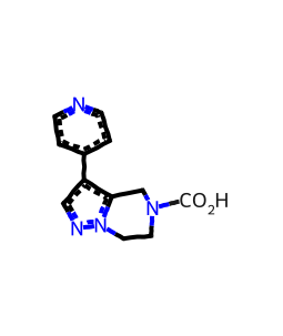 O=C(O)N1CCn2ncc(-c3ccncc3)c2C1